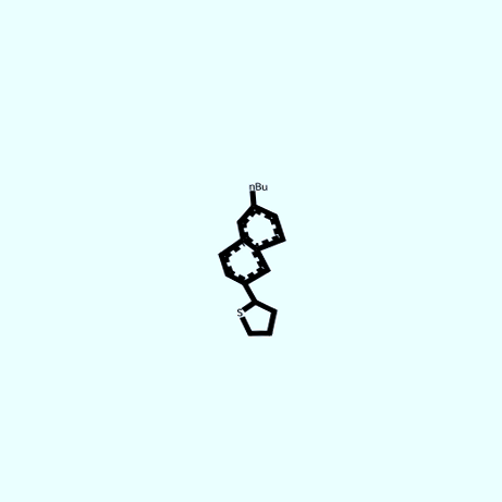 CCCCc1ccc2cc(C3CCCS3)ccc2c1